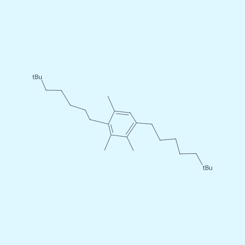 Cc1cc(CCCCCC(C)(C)C)c(C)c(C)c1CCCCCC(C)(C)C